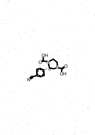 N#Cc1ccc([C@H]2CN(C(=O)O)CCN2C(=O)O)cc1